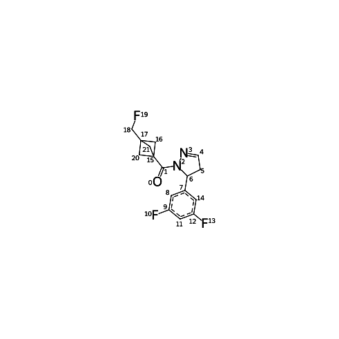 O=C(N1N=CCC1c1cc(F)cc(F)c1)C12CC(CF)(C1)C2